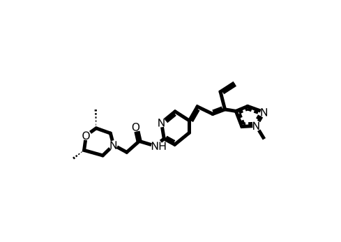 C=C/C(=C\C=C1\C=NC(NC(=O)CN2C[C@@H](C)O[C@@H](C)C2)=CC1)c1cnn(C)c1